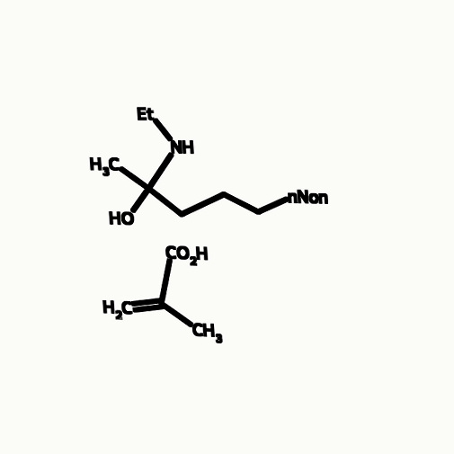 C=C(C)C(=O)O.CCCCCCCCCCCCC(C)(O)NCC